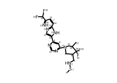 CSNCC1CN(c2cc(-c3cnc(/C=C\C(=N)C(F)F)[nH]3)ncn2)CC(C)C1(F)F